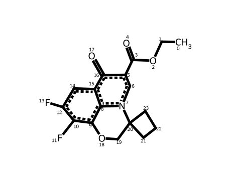 CCOC(=O)c1cn2c3c(c(F)c(F)cc3c1=O)OCC21CCC1